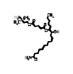 CCCCCC(OC(=O)CCCC(=O)OCC[N+](C)(C)C)C(O)C/C=C\CCCCCCCC(N)=O